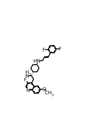 COc1ccc2ncc(F)c(CC(N)[C@H]3CC[C@H](NC/C=C/c4cc(F)ccc4F)CC3)c2c1